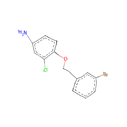 Nc1ccc(OCc2cccc(Br)c2)c(Cl)c1